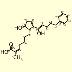 CC(=CCCCCC1C(C(O)=CCCCc2ccccc2)=CCC1O)C(=O)O